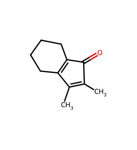 CC1=C(C)C2=C(CCCC2)C1=O